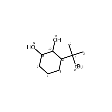 CC(C)(C)C(C)(C)C1CCCC(O)C1O